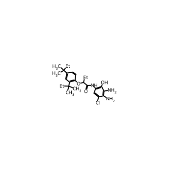 CCC(Oc1ccc(C(C)(C)CC)cc1C(C)(C)CC)C(=O)Nc1cc(Cl)c(N)c(N)c1O